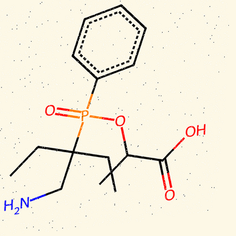 CCC(CC)(CN)P(=O)(OC(C)C(=O)O)c1ccccc1